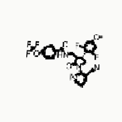 COc1cc(F)c([C@@H]2CN(c3ncccc3C#N)C(=O)C2CNC(=O)c2ccc(OC(F)(F)F)cc2)c(F)c1